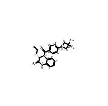 CCC[C@H]1C(=O)Nc2ccccc2N1C(=O)c1ccc(N2CC(F)(F)C2)nc1